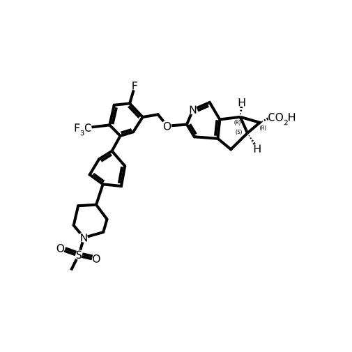 CS(=O)(=O)N1CCC(c2ccc(-c3cc(COc4cc5c(cn4)[C@@H]4[C@H](C5)[C@H]4C(=O)O)c(F)cc3C(F)(F)F)cc2)CC1